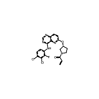 C=CC(=O)N1CC[C@H](Oc2ccc3ncnc(Nc4ccc(Cl)c(Cl)c4F)c3n2)C1